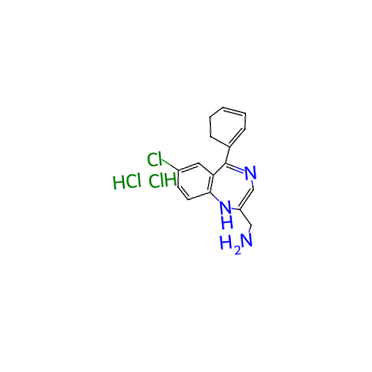 Cl.Cl.NCC1=CN=C(C2=CC=CCC2)c2cc(Cl)ccc2N1